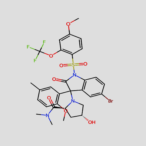 COc1ccc(S(=O)(=O)N2C(=O)C(c3cc(C)ccc3OC)(N3C[C@H](O)C[C@H]3C(=O)N(C)C)c3cc(Br)ccc32)c(OC(F)(F)F)c1